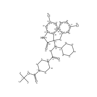 CC(C)(C)OC(=O)N1CCN(C(=O)CN(C2CCCCC2)C2(Cc3cccc(Cl)c3)C(=O)Nc3cc(Cl)ccc32)CC1